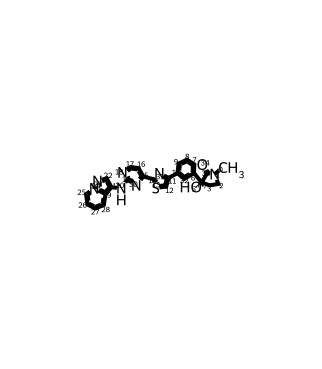 CN1CC[C@@](O)(c2cccc(-c3csc(-c4ccnc(Nc5cnn6ccccc56)n4)n3)c2)C1=O